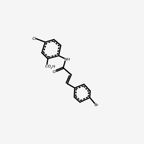 O=C(C=Cc1ccc(Br)cc1)Nc1ccc(Cl)cc1C(=O)O